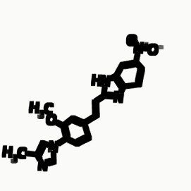 COc1cc(/C=C/c2nc3ccc([N+](=O)[O-])cc3[nH]2)ccc1-n1cnc(C)c1